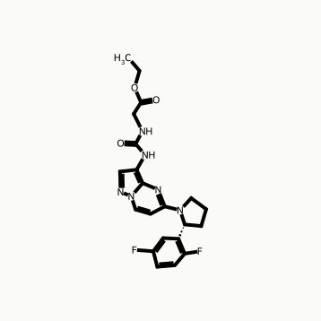 CCOC(=O)CNC(=O)Nc1cnn2ccc(N3CCC[C@@H]3c3cc(F)ccc3F)nc12